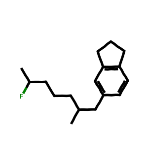 CC(F)CCCC(C)Cc1ccc2c(c1)CCC2